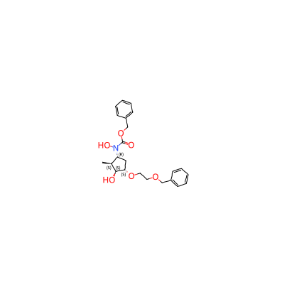 C[C@@H]1[C@H](O)[C@@H](OCCOCc2ccccc2)C[C@H]1N(O)C(=O)OCc1ccccc1